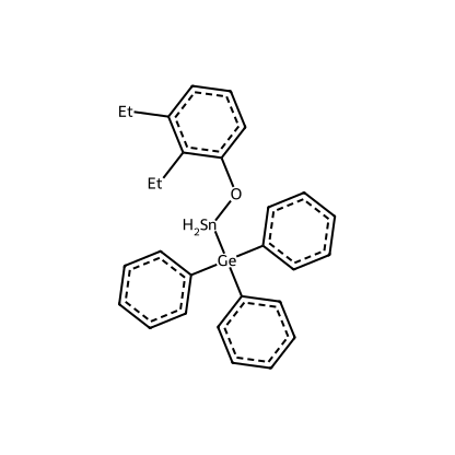 CCc1cccc([O][SnH2][Ge]([c]2ccccc2)([c]2ccccc2)[c]2ccccc2)c1CC